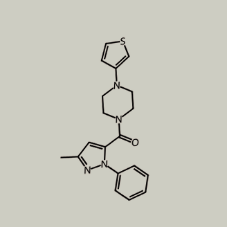 Cc1cc(C(=O)N2CCN(c3ccsc3)CC2)n(-c2ccccc2)n1